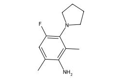 Cc1cc(F)c(N2CCCC2)c(C)c1N